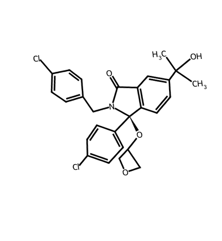 CC(C)(O)c1ccc2c(c1)C(=O)N(Cc1ccc(Cl)cc1)[C@@]2(OC1COC1)c1ccc(Cl)cc1